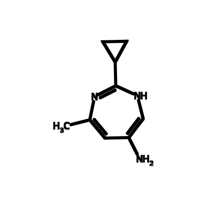 CC1=CC(N)=CNC(C2CC2)=N1